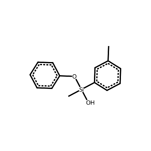 Cc1cccc([Si](C)(O)Oc2ccccc2)c1